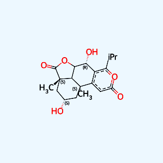 CC(C)c1oc(=O)cc2c1[C@@H](O)C1OC(=O)[C@@]3(C)C[C@@H](O)C[C@@]2(C)C13